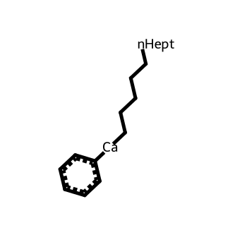 CCCCCCCCCCC[CH2][Ca][c]1ccccc1